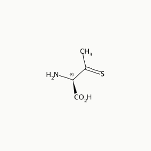 CC(=S)[C@H](N)C(=O)O